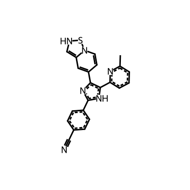 Cc1cccc(-c2[nH]c(-c3ccc(C#N)cc3)nc2C2=CC3=CNSN3C=C2)n1